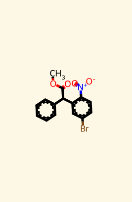 COC(=O)C(c1ccccc1)c1cc(Br)ccc1[N+](=O)[O-]